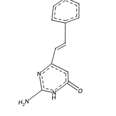 Nc1nc(C=Cc2ccccc2)cc(=O)[nH]1